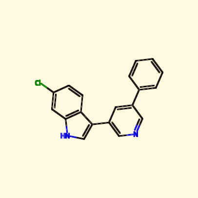 Clc1ccc2c(-c3cncc(-c4ccccc4)c3)c[nH]c2c1